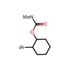 CNC(=O)OC1CCCCC1C(C)C